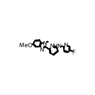 COc1ccc2c(c1)nc(-c1cccc(Nc3ccc(F)cn3)n1)n2C